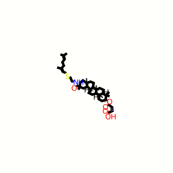 CC(C)=CCCC(C)=CCSCCNC(=O)C1(C)CC[C@]2(C)CC[C@]3(C)C(=CC[C@@H]4[C@@]5(C)CC[C@H](OC(=O)/C=C\C(=O)O)C(C)(C)[C@H]5CC[C@]43C)[C@@H]2C1